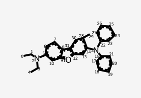 CCN(CC)c1ccc2c(c1)oc1cc(N(c3ccccc3)c3ccccc3)c(C)cc12